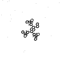 Cc1cc(-c2cc(-c3cc(C)c4c(c3)C3(C)CCCCC3(C)N4c3ccccc3)c3ccc4c(-c5cccc6ccccc56)cc(-c5cc(C)c6c(c5)C5(C)CCCCC5(C)N6c5ccccc5)c5ccc2c3c54)cc2c1N(c1ccccc1)C1(C)CCCCC21C